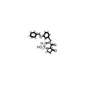 NN(Cc1cccc(OCc2ccccc2)c1)C(=S)C1C(=O)CCN1C(=O)O